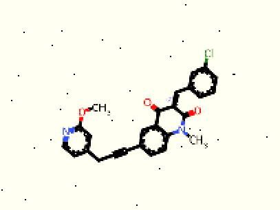 COc1cc(CC#Cc2ccc3c(c2)C(=O)/C(=C/c2cccc(Cl)c2)C(=O)N3C)ccn1